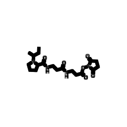 CCC(C)N1CCCC1C(=O)NCCC(=O)NCCC(=O)ON1C(=O)CCC1=O